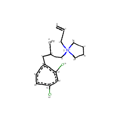 C=CC[N+]1(CC(CCC)Cc2ccc(Cl)cc2Cl)CCCC1